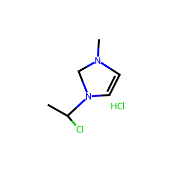 CC(Cl)N1C=CN(C)C1.Cl